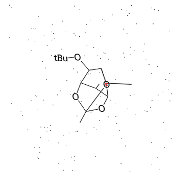 CC1C2OC3(C)OC1C(OC(C)(C)C)C(O3)C2C